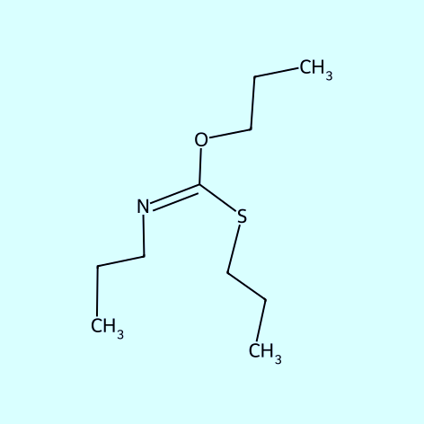 CCC/N=C(/OCCC)SCCC